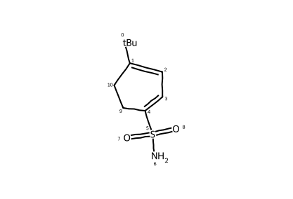 CC(C)(C)C1=CC=C(S(N)(=O)=O)CC1